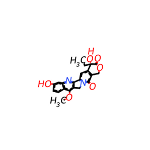 CC[C@@]1(O)C(=O)OCc2c1cc1n(c2=O)Cc2c-1nc1cc(O)ccc1c2OC